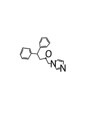 O=C(CC(c1ccccc1)c1ccccc1)Cn1ccnc1